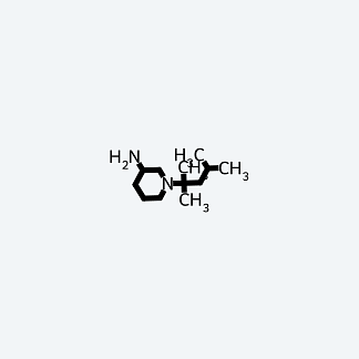 CC(C)CC(C)(C)N1CCCC(N)C1